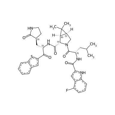 CC(C)C[C@H](NC(=O)c1cc2c(F)cccc2[nH]1)C(=O)N1C[C@H]2[C@@H]([C@H]1C(=O)N[C@@H](C[C@@H]1CCNC1=O)C(=O)c1cc3ccccc3s1)C2(C)C